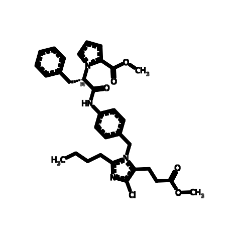 CCCCc1nc(Cl)c(CCC(=O)OC)n1Cc1ccc(NC(=O)[C@H](Cc2ccccc2)n2cccc2C(=O)OC)cc1